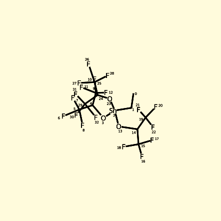 C[CH2][Sn]([O]C(C(F)(F)F)C(F)(F)F)([O]C(C(F)(F)F)C(F)(F)F)[O]C(C(F)(F)F)C(F)(F)F